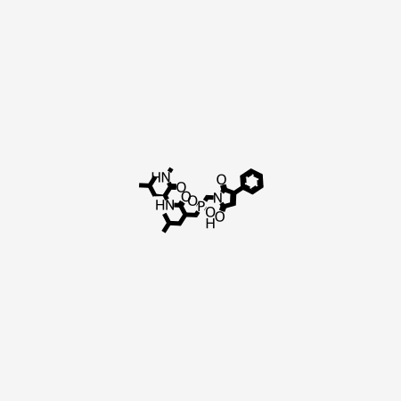 CNC(=O)[C@H](CC(C)C)NC(=O)C(CC(C)C)CP(=O)(O)CN1C(=O)C=C(c2ccccc2)C1=O